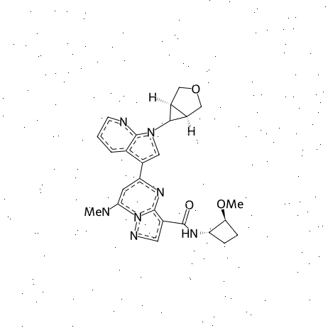 CNc1cc(-c2cn(C3[C@H]4COC[C@@H]34)c3ncccc23)nc2c(C(=O)N[C@H]3CC[C@@H]3OC)cnn12